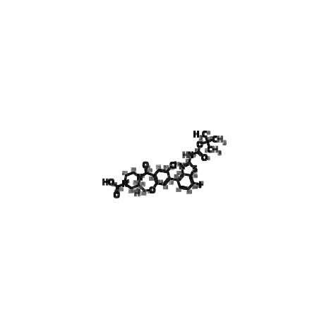 CC(C)(C)OC(=O)Nc1nc2c(-c3cc4c(cc3Cl)C(=O)N3CCN(C(=O)O)C[C@@H]3CO4)ccc(F)c2s1